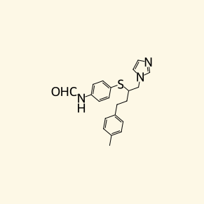 Cc1ccc(CCC(Cn2ccnc2)Sc2ccc(NC=O)cc2)cc1